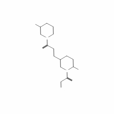 CCC(=O)N1CC(CCC(=O)N2CCCC(C)C2)CCC1C